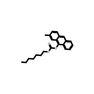 CCCCCCCOC(=O)Oc1c2ccccc2cc2ccc(C)cc12